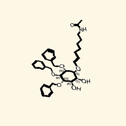 CC(=O)NCCCCCCCO[C@H]1[C@@H](O)[C@@H](O)[C@H](OCc2ccccc2)[C@@H](OCc2ccccc2)[C@@H]1OCc1ccccc1